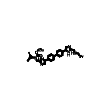 CC(C)CNCc1ncc(-c2ccc(-c3ccc(-c4cnc(CN(C(=O)OC(C)(C)C)C5C(C)[C@H]5C)[nH]4)cc3)cc2)[nH]1